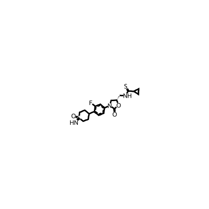 N=S1(=O)CCC(c2ccc(N3C[C@H](CNC(=S)C4CC4)OC3=O)cc2F)CC1